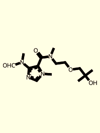 CN(CCOCC(C)(C)O)C(=O)c1c(N(C)C=O)ncn1C